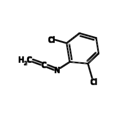 C=C=Nc1c(Cl)cccc1Cl